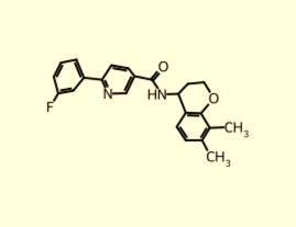 Cc1ccc2c(c1C)OCCC2NC(=O)c1ccc(-c2cccc(F)c2)nc1